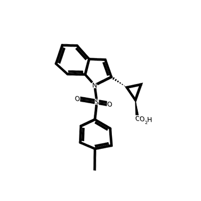 Cc1ccc(S(=O)(=O)n2c([C@@H]3C[C@H]3C(=O)O)cc3ccccc32)cc1